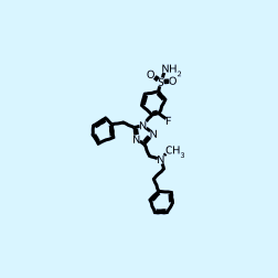 CN(CCc1ccccc1)Cc1nc(Cc2ccccc2)n(-c2ccc(S(N)(=O)=O)cc2F)n1